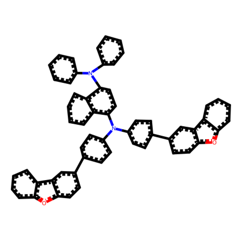 c1ccc(N(c2ccccc2)c2ccc(N(c3ccc(-c4ccc5oc6ccccc6c5c4)cc3)c3ccc(-c4ccc5oc6ccccc6c5c4)cc3)c3ccccc23)cc1